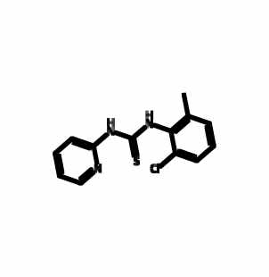 Cc1cccc(Cl)c1NC(=S)Nc1ccccn1